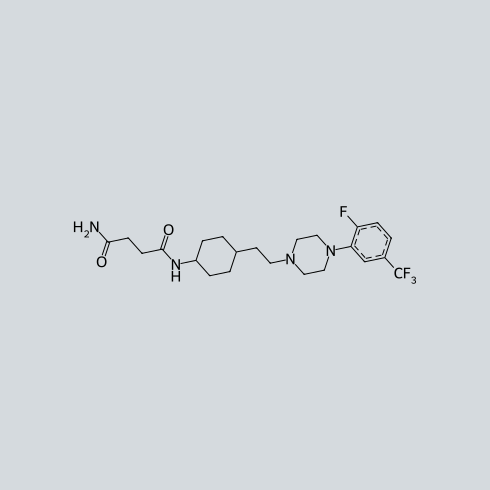 NC(=O)CCC(=O)NC1CCC(CCN2CCN(c3cc(C(F)(F)F)ccc3F)CC2)CC1